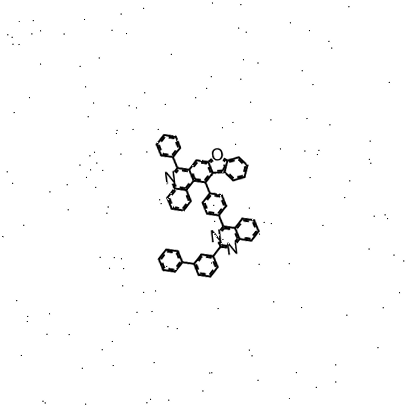 c1ccc(-c2cccc(-c3nc(-c4ccc(-c5c6c(cc7c(-c8ccccc8)nc8ccccc8c57)oc5ccccc56)cc4)c4ccccc4n3)c2)cc1